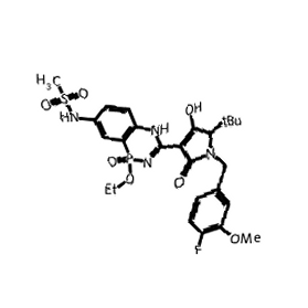 CCOP1(=O)N=C(C2=C(O)C(C(C)(C)C)N(Cc3ccc(F)c(OC)c3)C2=O)Nc2ccc(NS(C)(=O)=O)cc21